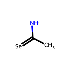 CC([NH])=[Se]